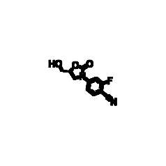 N#Cc1ccc(N2C[C@H](CO)OC2=O)cc1F